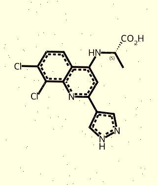 C[C@H](Nc1cc(-c2cn[nH]c2)nc2c(Cl)c(Cl)ccc12)C(=O)O